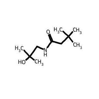 CC(C)(C)CC(=O)NCC(C)(C)O